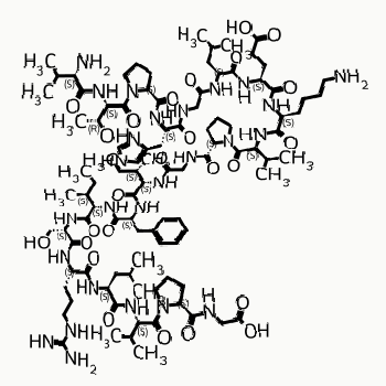 CC[C@H](C)[C@H](NC(=O)CNC(=O)[C@@H]1CCCN1C(=O)[C@@H](NC(=O)[C@H](CCCCN)NC(=O)[C@H](CCC(=O)O)NC(=O)[C@H](CC(C)C)NC(=O)CNC(=O)[C@H](Cc1c[nH]cn1)NC(=O)[C@@H]1CCCN1C(=O)[C@@H](NC(=O)[C@@H](N)C(C)C)[C@@H](C)O)C(C)C)C(=O)N[C@@H](Cc1ccccc1)C(=O)N[C@H](C(=O)N[C@@H](CO)C(=O)N[C@@H](CCCNC(=N)N)C(=O)N[C@@H](CC(C)C)C(=O)N[C@H](C(=O)N1CCC[C@H]1C(=O)NCC(=O)O)C(C)C)[C@@H](C)CC